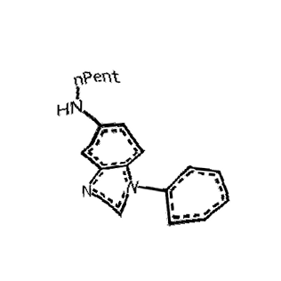 CCCCCNc1ccc2c(c1)ncn2-c1ccccc1